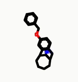 NC1C2CCCCC1c1cc(OCc3ccccc3)ccc1C2